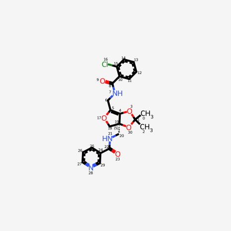 CC1(C)OC2=C(CNC(=O)c3ccccc3Cl)OC[C@]2(CNC(=O)c2cccnc2)O1